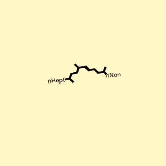 [CH2]CCCCCCCCC(C)CCC=CC(C)CCC(C)CCCCCC[CH2]